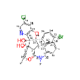 CC#CC1(O)C(C(=O)N(C)C)[C@@H](c2ccccc2)[C@]2(c3ccc(Br)cc3)Oc3cc(Cl)cnc3C12O